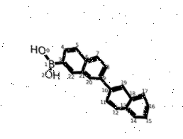 OB(O)c1ccc2ccc(-c3ccc4ccccc4c3)cc2c1